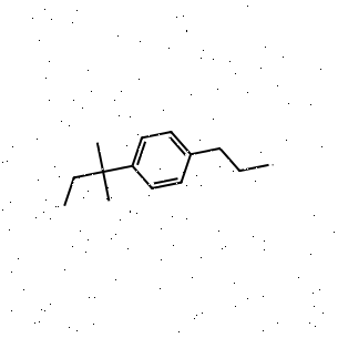 [CH2]CCc1ccc(C(C)(C)CC)cc1